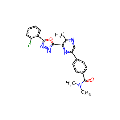 Cc1ncc(-c2ccc(C(=O)N(C)C)cc2)nc1-c1nnc(-c2ccccc2F)o1